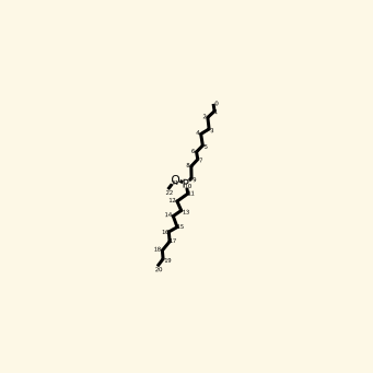 CCCCCCCCCCP(CCCCCCCCCC)OC